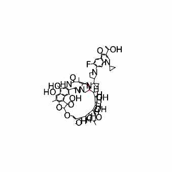 C=C(O)c1cn(C2CC2)c2cc(N3CCC(C4(N5CCN(/N=C/c6c7c(O)c8c(O)c(C)c9c(c8c6O)C(=O)[C@@](C)(O/C=C/[C@H](OC)[C@@H](C)[C@@H](OC(C)=O)[C@H](C)[C@H](O)[C@H](C)[C@@H](O)[C@@H](C)/C=C/C=C(/C)C(=O)N7)O9)CC5)CC4)C3)c(F)cc2c1=O